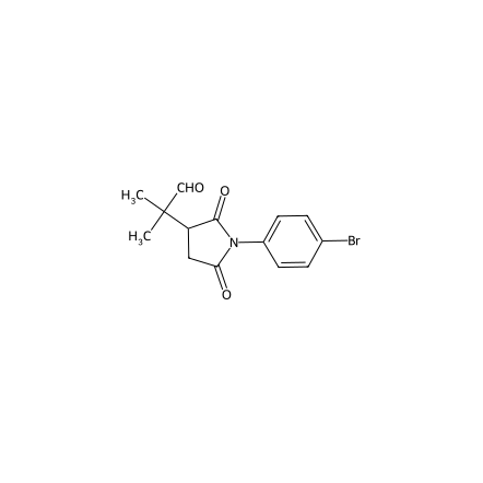 CC(C)(C=O)C1CC(=O)N(c2ccc(Br)cc2)C1=O